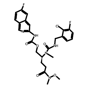 CON(C)C(=O)CC[C@@H](COC(=O)Nc1cc2cc(F)ccc2cn1)N(C)C(=O)NCc1cccc(F)c1Cl